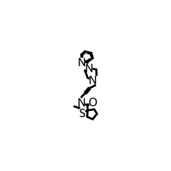 CC1SC2(CCCC2)C(=O)N1CC#CCN1CCN(c2ccccn2)CC1